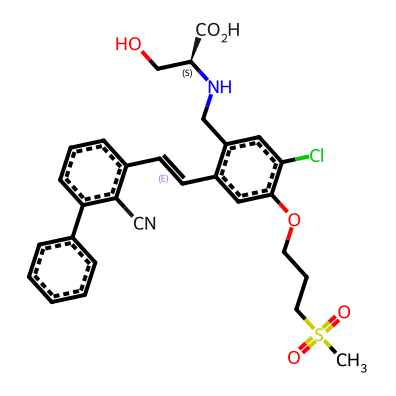 CS(=O)(=O)CCCOc1cc(/C=C/c2cccc(-c3ccccc3)c2C#N)c(CN[C@@H](CO)C(=O)O)cc1Cl